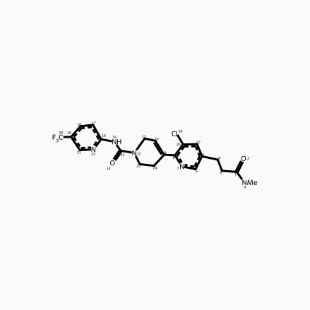 CNC(=O)CCc1cnc(C2=CCN(C(=O)Nc3ccc(C(F)(F)F)cn3)CC2)c(Cl)c1